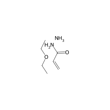 C=CC(N)=O.CCOCC.N